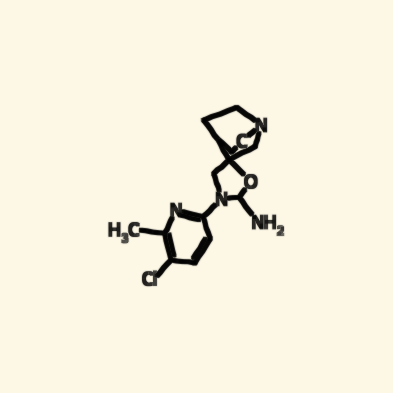 Cc1nc(N2CC3(CN4CCC3CC4)OC2N)ccc1Cl